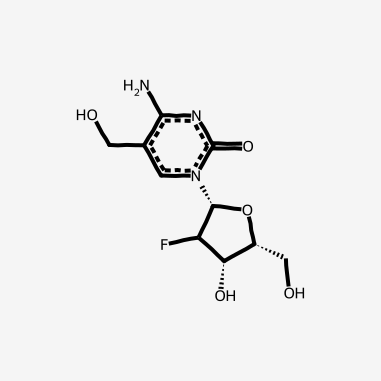 Nc1nc(=O)n([C@@H]2O[C@H](CO)[C@H](O)C2F)cc1CO